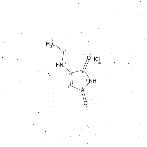 CCNC1=CC(=O)NC1=O.Cl